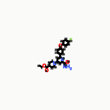 CCOC(=O)C1CCN(c2cc(C(N)=O)nc(-c3ccc(Oc4ccc(F)cc4)cc3)c2)CC1